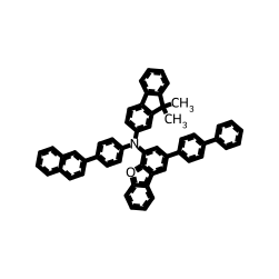 CC1(C)c2ccccc2-c2ccc(N(c3ccc(-c4ccc5ccccc5c4)cc3)c3cc(-c4ccc(-c5ccccc5)cc4)cc4c3oc3ccccc34)cc21